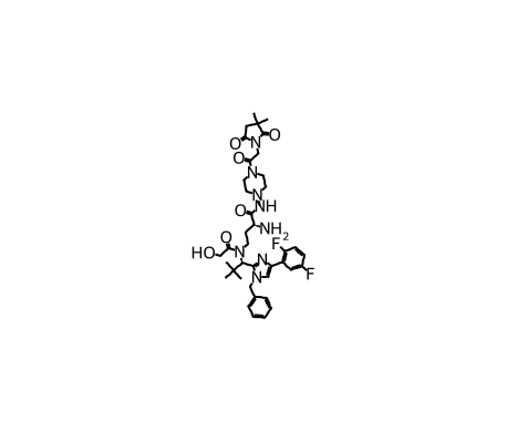 CC1(C)CC(=O)N(CC(=O)N2CCN(NC(=O)[C@@H](N)CCN(C(=O)CO)[C@@H](c3nc(-c4cc(F)ccc4F)cn3Cc3ccccc3)C(C)(C)C)CC2)C1=O